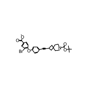 COC(=O)c1ccc(Oc2ccc(C#CC3CC4(CCN(C(=O)OC(C)(C)C)CC4)C3)cc2)c(Br)c1